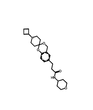 O=C(CCc1ccc2c(c1)COC1(CCN(C3CCC3)CC1)O2)NC1CCOCC1